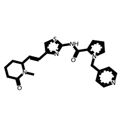 CN1C(=O)CCCC1/C=C/c1csc(NC(=O)c2cccn2Cc2ccncc2)n1